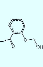 CC(=O)c1ccccc1OCO